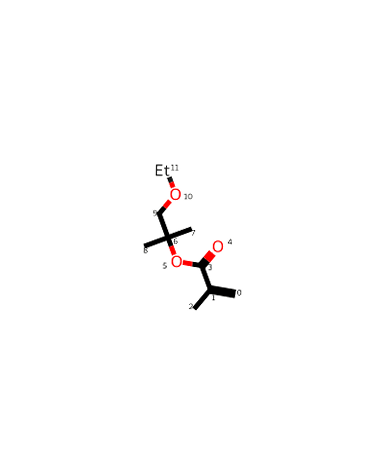 C=C(C)C(=O)OC(C)(C)COCC